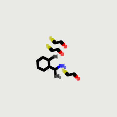 CC(N)C1CCCC[CH]1[Sn].O=CC=S.O=CC=S.O=CC=S